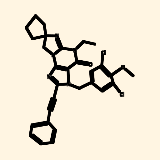 CCN1C(=O)c2c(nc(C#Cc3ccccc3)n2Cc2cc(Cl)c(OC)c(Cl)c2)N2CC3(CCCC3)N=C12